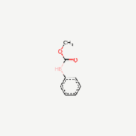 COC(=O)Bc1ccccc1